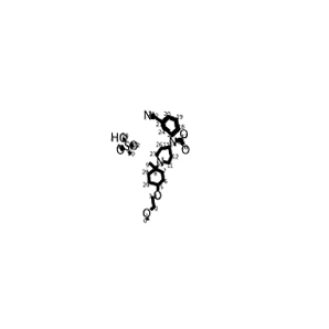 COCCOC1CCC(C)(N2CCC(n3c(=O)oc4ccc(C#N)cc43)CC2)CC1.CS(=O)(=O)O